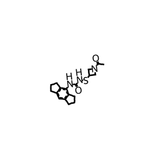 CC(=O)N1CC(SNC(=O)Nc2c3c(cc4c2CCC4)CCC3)C1